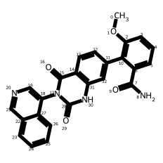 COc1cccc(C(N)=O)c1-c1ccc2c(=O)n(-c3cncc4ccccc34)c(=O)[nH]c2c1